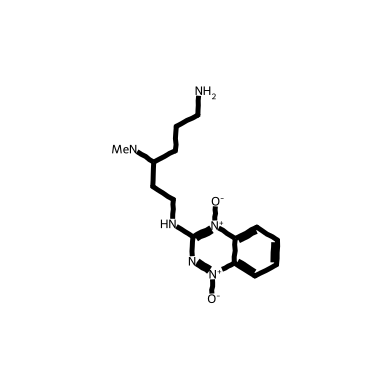 CNC(CCCN)CCNc1n[n+]([O-])c2ccccc2[n+]1[O-]